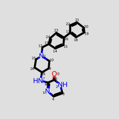 O=c1[nH]ccnc1NC1CCN(Cc2ccc(-c3ccccc3)cc2)CC1